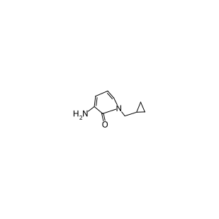 Nc1cccn(CC2CC2)c1=O